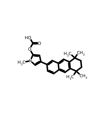 Cn1cc(-c2ccc3cc4c(cc3c2)C(C)(C)CCC4(C)C)cc1OC(=O)O